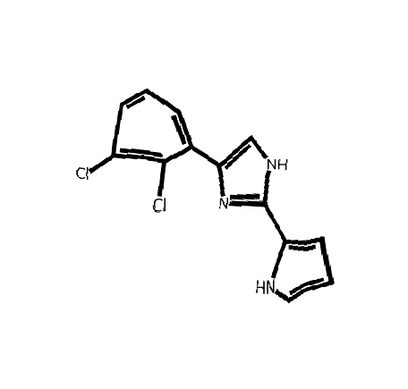 Clc1cccc(-c2c[nH]c(-c3ccc[nH]3)n2)c1Cl